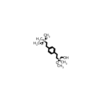 CO[Si](C)(CO)CCc1ccc(CC[Si](C)(OC)OC)cc1